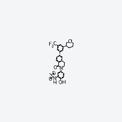 CS(=O)(=O)Nc1cc(N2CCc3cc(-c4cc(C5CCCOC5)cc(C(F)(F)F)c4)ccc3C2=O)ccc1O